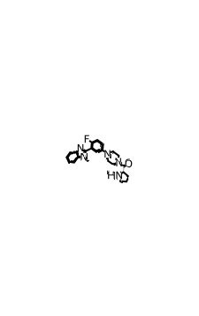 Cn1c(-c2cc(N3CCN(C(=O)[C@@H]4CCCN4)CC3)ccc2F)nc2ccccc21